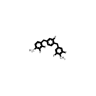 Cc1ccc(Cc2ccc(Cc3cc(F)c(C)c(F)c3)c(F)c2)c(F)c1F